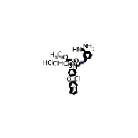 CCOC(=O)CS(=O)(=O)N(C/C=C/c1cccc(C(=N)N)c1)c1ccc(Oc2ccn3cccc3c2)c(Cl)c1.Cl.Cl